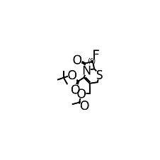 CC(=O)OCC1=C(C(=O)OC(C)(C)C)N2C(=O)[C@H](F)C2SC1